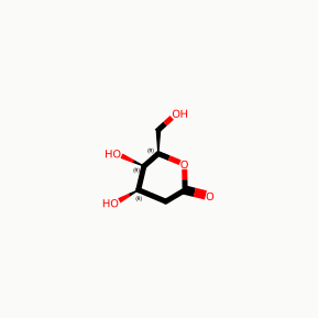 O=C1C[C@@H](O)[C@@H](O)[C@@H](CO)O1